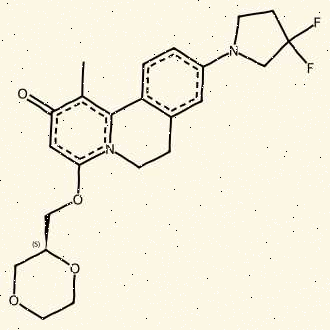 Cc1c2n(c(OC[C@@H]3COCCO3)cc1=O)CCc1cc(N3CCC(F)(F)C3)ccc1-2